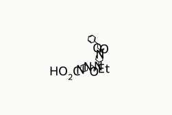 CCN(C(=O)CN1CCN(C(=O)O)CC1)C1CCN(C(=O)OCc2ccccc2)CC1